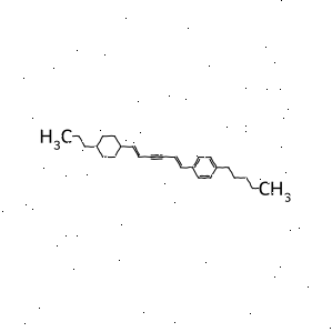 CCCCCc1ccc(C=CC#CC=CC2CCC(CCC)CC2)cc1